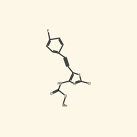 CC(C)(C)OC(=O)Nc1nc(Cl)sc1C#Cc1ccc(F)cc1